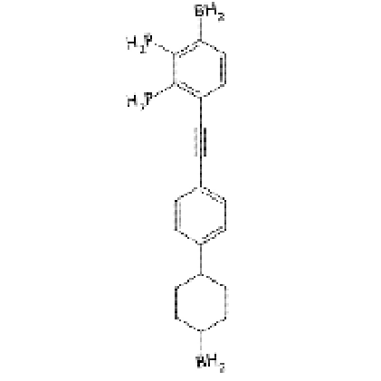 Bc1ccc(C#Cc2ccc(C3CCC(B)CC3)cc2)c(P)c1P